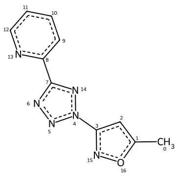 Cc1cc(-n2nnc(-c3ccccn3)n2)no1